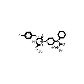 CCN(O)C(=O)N(C1CCCCC1)C1CCN(NC(=O)[C@@H](Cc2ccc(Cl)cc2)NC(=O)OC(C)(C)C)CC1